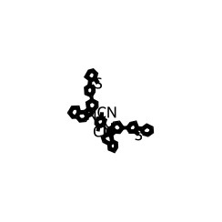 N#Cc1cc(-n2c3ccc(-c4ccc5c(c4)sc4ccccc45)cc3c3c4ccccc4ccc32)c(C#N)cc1-n1c2ccc(-c3ccc4c(c3)sc3ccccc34)cc2c2c3ccccc3ccc21